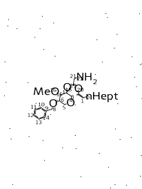 CCCCCCCC=C[C@@H]1OC[C@@H](OCc2ccccc2)[C@H](OC)[C@@H]1OC(=O)CN